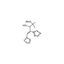 COC(C)(C)C(O)C(=Cc1cccs1)n1cncn1